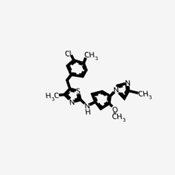 COc1cc(Nc2nc(C)c(Cc3ccc(C)c(Cl)c3)s2)ccc1-n1cnc(C)c1